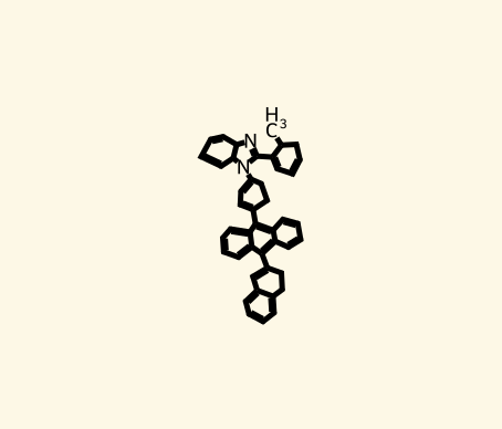 CC1CC=CC=C1C1=NC2C=CC=CC2N1C1=CC=C(c2c3ccccc3c(C3=Cc4ccccc4CC3)c3ccccc23)CC1